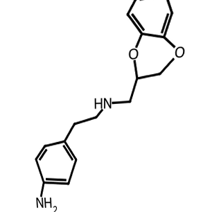 Nc1ccc(CCNCC2COc3ccccc3O2)cc1